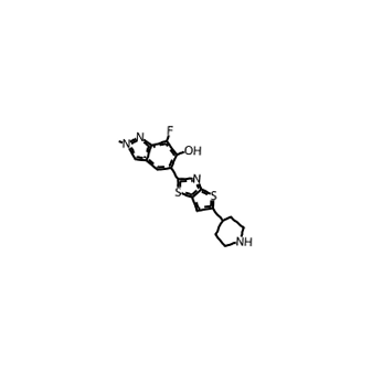 Cn1cc2cc(-c3nc4sc(C5CCNCC5)cc4s3)c(O)c(F)c2n1